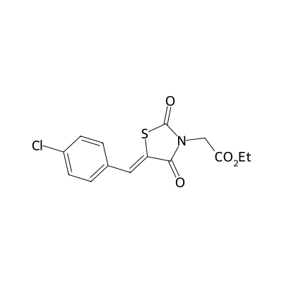 CCOC(=O)CN1C(=O)S/C(=C\c2ccc(Cl)cc2)C1=O